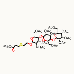 COC(=O)CCSCCO[C@@H]1O[C@H](COC(C)=O)[C@@H](O[C@@H]2O[C@H](COC(C)=O)[C@H](O[C@H]3O[C@H](COC(C)=O)[C@H](OC(C)=O)[C@H](OC(C)=O)[C@H]3OC(C)=O)[C@H](OC(C)=O)[C@H]2OC(C)=O)[C@H](OC(C)=O)[C@H]1NC(C)=O